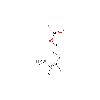 CC(=O)OCCCC(C)=C(C)[SiH3]